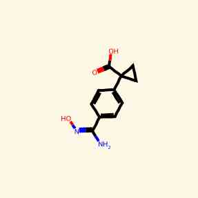 N/C(=N/O)c1ccc(C2(C(=O)O)CC2)cc1